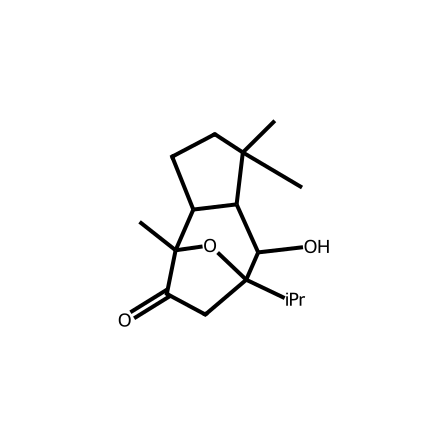 CC(C)C12CC(=O)C(C)(O1)C1CCC(C)(C)C1C2O